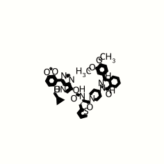 COc1ccc(C2=NN(C3CCN(C(=O)[C@H](Cc4cccs4)NC(=O)Oc4c[nH]c5c(-c6c(OCC7CC7)ccc7c6OCO7)ncnc45)CC3)C(=O)[C@@H]3CCCC[C@H]23)cc1OC